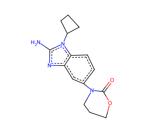 Nc1nc2cc(N3CCCOC3=O)ccc2n1C1CCC1